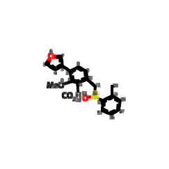 COc1c(-c2ccoc2)ccc(C[S+]([O-])c2ccccc2C)c1C(=O)O